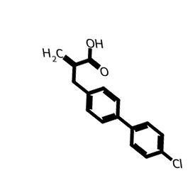 C=C(Cc1ccc(-c2ccc(Cl)cc2)cc1)C(=O)O